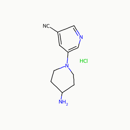 Cl.N#Cc1cncc(N2CCC(N)CC2)c1